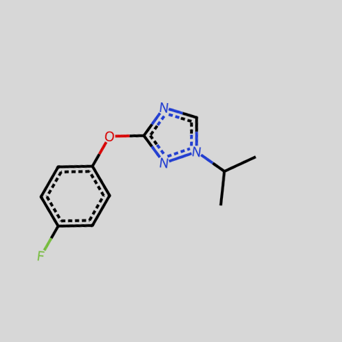 CC(C)n1cnc(Oc2ccc(F)cc2)n1